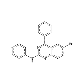 Brc1ccc2nc(Nc3cc[c]cc3)nc(-c3ccccc3)c2c1